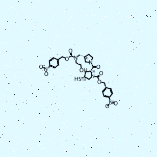 O=C(OCc1ccc([N+](=O)[O-])cc1)N(CCO)C[C@@H]1CCN(C(=O)[C@@H]2C[C@H](S)CN2C(=O)OCc2ccc([N+](=O)[O-])cc2)C1